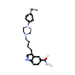 CC(=O)Nc1ccc(N2CCN(CCCCc3c[nH]c4ccc(C(N)=O)cc34)CC2)cc1